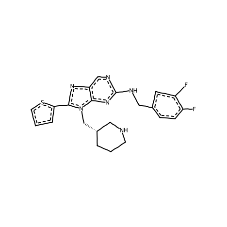 Fc1ccc(CNc2ncc3nc(-c4cccs4)n(C[C@H]4CCCNC4)c3n2)cc1F